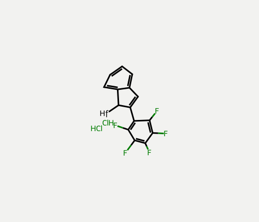 Cl.Cl.Fc1c(F)c(F)c(C2=Cc3ccccc3[CH]2[Hf])c(F)c1F